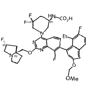 CCc1c(F)ccc2cc(OCOC)cc(-c3ccc4c(N5C[C@H](NC(=O)O)CC(F)(F)C5)nc(OC[C@@]56CCCN5C[C@H](F)C6)nc4c3F)c12